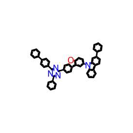 c1ccc(-c2ccc(-c3nc(-c4ccccc4)nc(-c4ccc5c(c4)oc4ccc(-n6c7ccccc7c7ccc(-c8ccccc8)cc76)cc45)n3)cc2)cc1